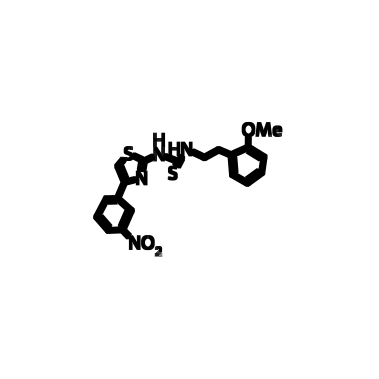 COc1ccccc1CCNC(=S)Nc1nc(-c2cccc([N+](=O)[O-])c2)cs1